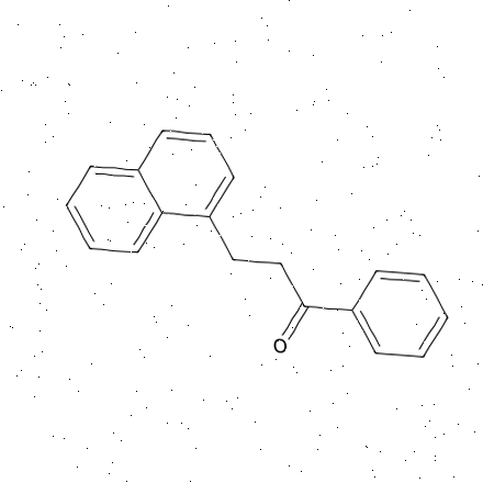 O=C(CCc1cccc2ccccc12)c1ccccc1